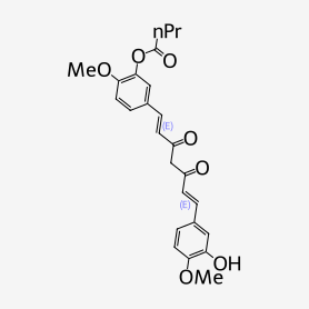 CCCC(=O)Oc1cc(/C=C/C(=O)CC(=O)/C=C/c2ccc(OC)c(O)c2)ccc1OC